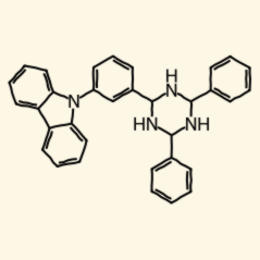 c1ccc(C2NC(c3ccccc3)NC(c3cccc(-n4c5ccccc5c5ccccc54)c3)N2)cc1